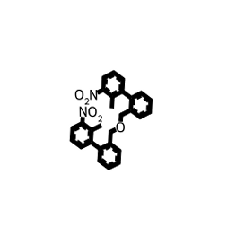 Cc1c(-c2ccccc2COCc2ccccc2-c2cccc([N+](=O)[O-])c2C)cccc1[N+](=O)[O-]